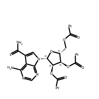 CC(C)C(=O)OC[C@H]1O[C@@H](n2cc(C(N)=S)c3c(N)ncnc32)[C@H](OC(=O)C(C)C)[C@@H]1OC(=O)C(C)C